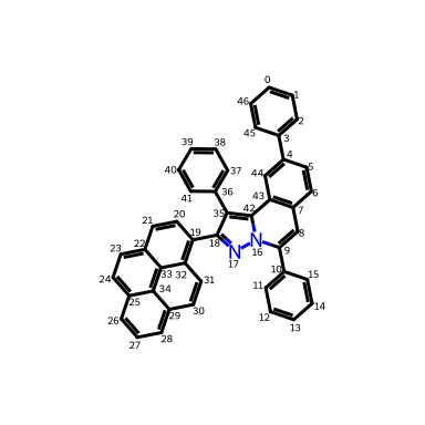 c1ccc(-c2ccc3cc(-c4ccccc4)n4nc(-c5ccc6ccc7cccc8ccc5c6c78)c(-c5ccccc5)c4c3c2)cc1